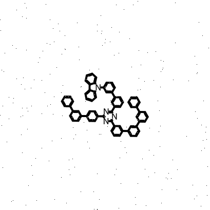 c1ccc(-c2cccc(-c3ccc(-c4nc(-c5cccc(-c6cccc(-c7cccc(-c8ccccc8)c7)c6)c5)nc(-c5cccc(-c6cccc(-n7c8ccccc8c8ccccc87)c6)c5)n4)cc3)c2)cc1